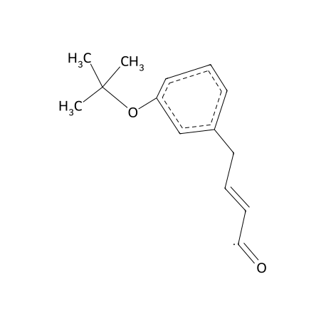 CC(C)(C)Oc1cccc(CC=C[C]=O)c1